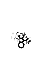 CC(C)(C)c1nc2c(c(-c3cocn3)c1C#N)CCCCC2